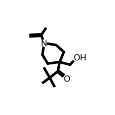 C=C(C)N1CCC(CO)(C(=O)C(C)(C)C)CC1